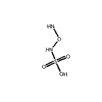 [NH]ONS(=O)(=O)O